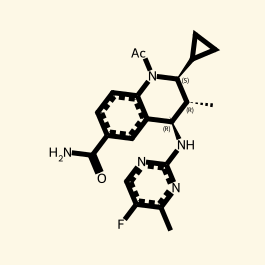 CC(=O)N1c2ccc(C(N)=O)cc2[C@H](Nc2ncc(F)c(C)n2)[C@@H](C)[C@@H]1C1CC1